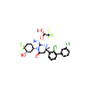 C[C@@]1(c2cccc(-c3cccc(Cl)c3)c2Cl)CC(=O)N([C@@H]2CCC(F)(F)[C@H](O)C2)C(=N)N1.O=C(O)C(F)(F)F